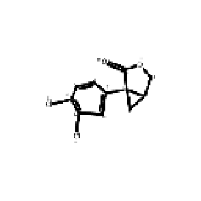 O=C1OCC2C[C@]12c1ccc(Cl)c(Cl)c1